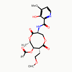 COc1ccnc(C(=O)N[C@H]2COC(=O)[C@H](CCOC=O)[C@@H](OC(=O)C(C)C)[C@H](C)OC2=O)c1O